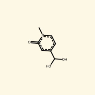 Cn1ccc(C(O)O)cc1=O